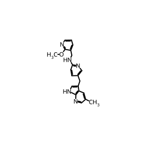 COc1ncccc1CNc1ccc(Cc2c[nH]c3ncc(C)cc23)cn1